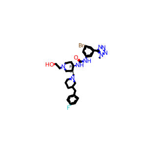 Cn1nnnc1-c1cc(Br)cc(NC(=O)N[C@@H]2CCN(CCO)C[C@H]2CN2CCCC(Cc3ccc(F)cc3)C2)c1